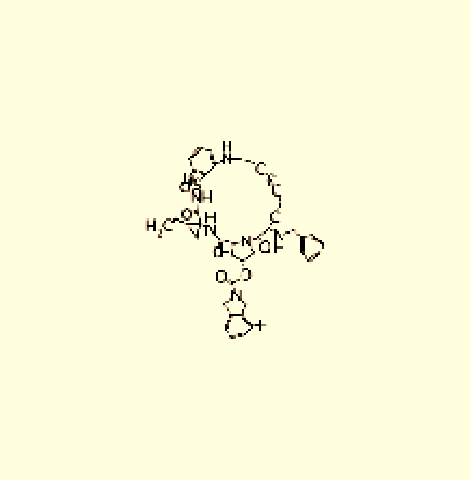 C=C[C@@H]1C[C@@]12NC(=O)[C@@H]1C[C@@H](OC(=O)N3Cc4cccc(F)c4C3)CN1C(=O)[C@@H](NCc1ccccc1)CCCCCCCNc1ccccc1S(=O)(=O)NC2=O